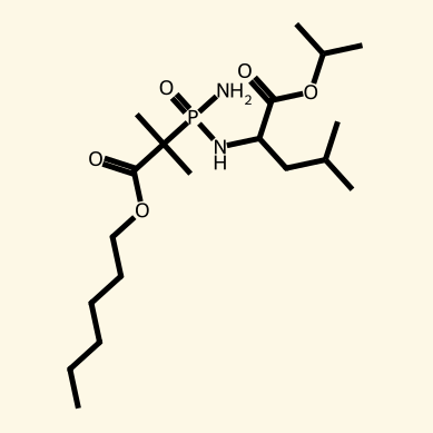 CCCCCCOC(=O)C(C)(C)P(N)(=O)NC(CC(C)C)C(=O)OC(C)C